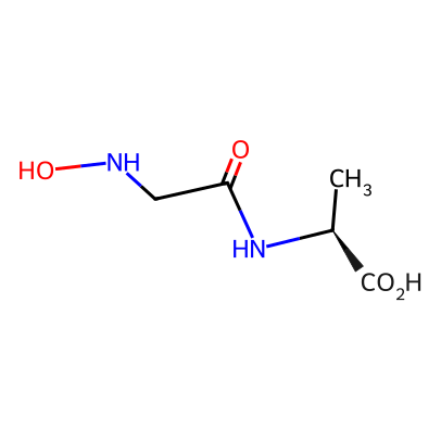 C[C@H](NC(=O)CNO)C(=O)O